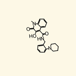 Cn1c(=O)c(O)c(C(=O)NCc2ccccc2N2CCCCC2)c2ccccc21